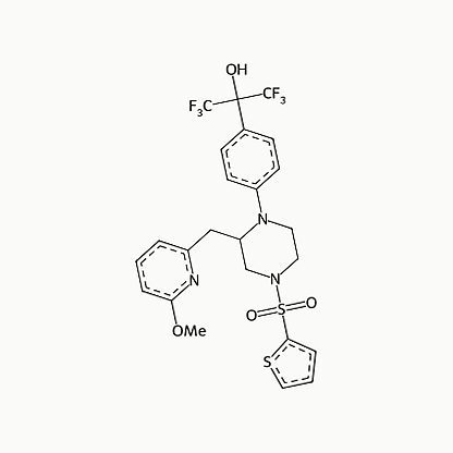 COc1cccc(CC2CN(S(=O)(=O)c3cccs3)CCN2c2ccc(C(O)(C(F)(F)F)C(F)(F)F)cc2)n1